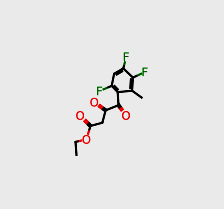 CCOC(=O)CC(=O)C(=O)c1c(F)cc(F)c(F)c1C